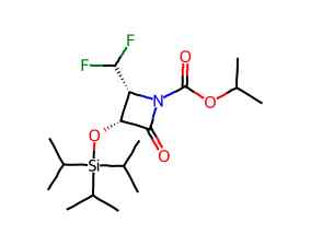 CC(C)OC(=O)N1C(=O)[C@H](O[Si](C(C)C)(C(C)C)C(C)C)[C@@H]1C(F)F